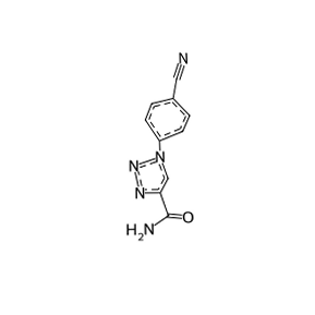 N#Cc1ccc(-n2cc(C(N)=O)nn2)cc1